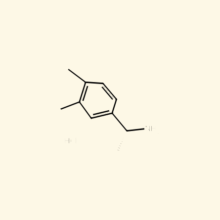 Cc1ccc([C@@H](C)N)cc1C.Cl